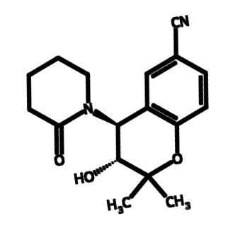 CC1(C)Oc2ccc(C#N)cc2[C@H](N2CCCCC2=O)[C@H]1O